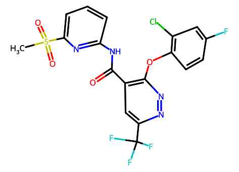 CS(=O)(=O)c1cccc(NC(=O)c2cc(C(F)(F)F)nnc2Oc2ccc(F)cc2Cl)n1